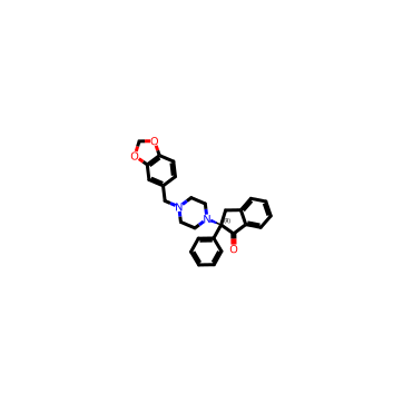 O=C1c2ccccc2C[C@]1(c1ccccc1)N1CCN(Cc2ccc3c(c2)OCO3)CC1